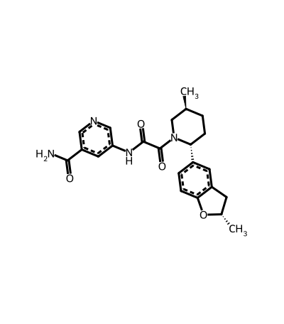 C[C@H]1CC[C@H](c2ccc3c(c2)C[C@H](C)O3)N(C(=O)C(=O)Nc2cncc(C(N)=O)c2)C1